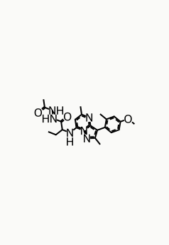 CCC(Nc1cc(C)nc2c(-c3ccc(OC)cc3C)c(C)nn12)C(=O)NNC(C)=O